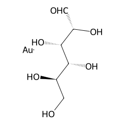 O=C[C@H](O)[C@@H](O)[C@H](O)[C@H](O)CO.[Au]